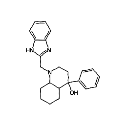 OC1(c2ccccc2)CCN(Cc2nc3ccccc3[nH]2)C2CCCCC21